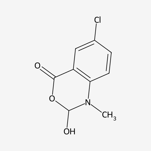 CN1c2ccc(Cl)cc2C(=O)OC1O